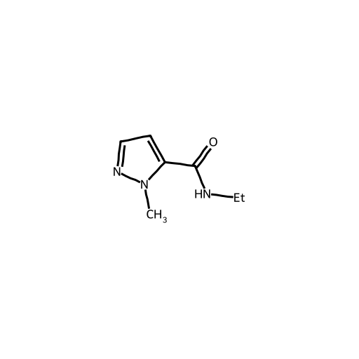 CCNC(=O)c1ccnn1C